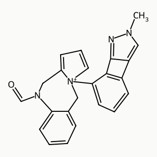 Cn1cc2c(n1)-c1c-2cccc1[N+]12C=CC=C1CN(C=O)c1ccccc1C2